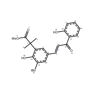 COC(=O)C(C)(C)c1cc(/C=C/C(=O)c2ccccc2O)cc(C(C)(C)C)c1O